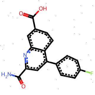 NC(=O)c1cc(-c2ccc(F)cc2)c2ccc(C(=O)O)cc2n1